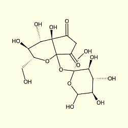 O=C1CC(=O)[C@@]2(O)[C@@H](O)[C@H](O)[C@@H](CO)OC12O[C@]1(CO)OC(O)[C@H](O)[C@@H](O)[C@@H]1O